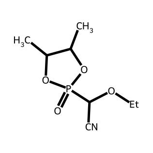 CCOC(C#N)P1(=O)OC(C)C(C)O1